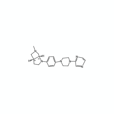 CN1C[C@H]2CCN(c3ccc(N4CCN(c5cnccn5)CC4)cc3)[C@H]2C1